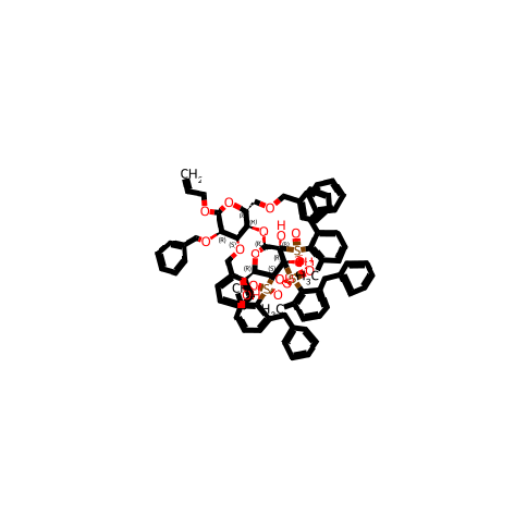 C=CCOC1O[C@H](COCc2ccccc2)[C@@H](O[C@@H]2O[C@H](CO)[C@](O)(S(=O)(=O)c3c(C)cccc3Cc3ccccc3)[C@@](O)(S(=O)(=O)c3c(C)cccc3Cc3ccccc3)[C@]2(O)S(=O)(=O)c2c(C)cccc2Cc2ccccc2)[C@H](OCc2ccccc2)[C@H]1OCc1ccccc1